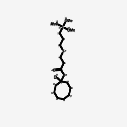 CCC1(OC(=O)CCSCCC[Si](OC)(OC)OC)CCCCCCC1